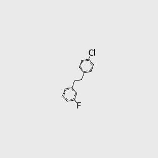 Fc1cccc(CCc2ccc(Cl)cc2)c1